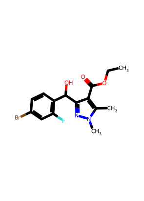 CCOC(=O)c1c(C(O)c2ccc(Br)cc2F)nn(C)c1C